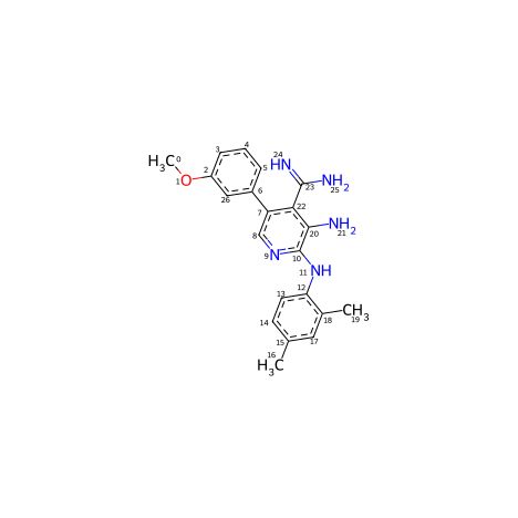 COc1cccc(-c2cnc(Nc3ccc(C)cc3C)c(N)c2C(=N)N)c1